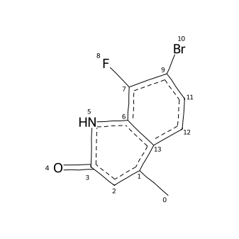 Cc1cc(=O)[nH]c2c(F)c(Br)ccc12